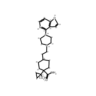 NC(=O)C1(C2(C(=O)O)CC2)CCC(CCN2CCN(c3nccc4occc34)CC2)CC1